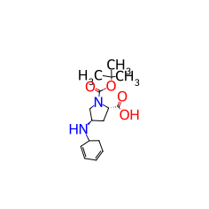 CC(C)(C)OC(=O)N1C[C@H](NC2C=CC=CC2)C[C@H]1C(=O)O